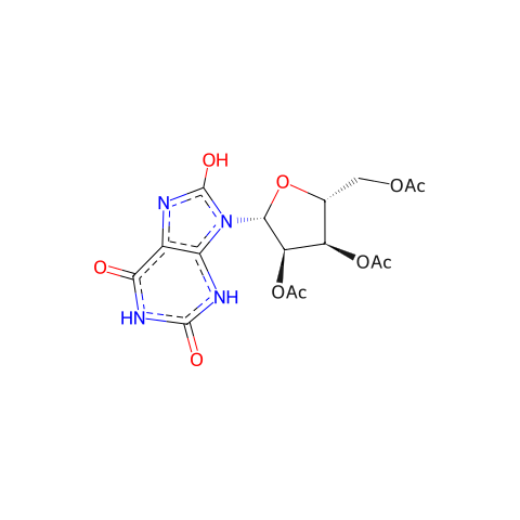 CC(=O)OC[C@H]1O[C@@H](n2c(O)nc3c(=O)[nH]c(=O)[nH]c32)[C@H](OC(C)=O)[C@@H]1OC(C)=O